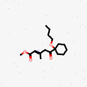 CCCCOC1(C(=O)C/C(C)=C/C(=O)OC)CCCCC1